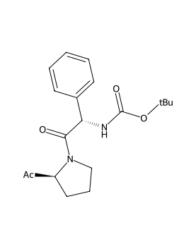 CC(=O)[C@@H]1CCCN1C(=O)[C@@H](NC(=O)OC(C)(C)C)c1ccccc1